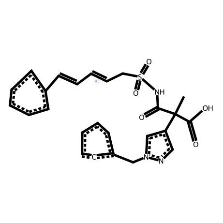 CC(C(=O)O)(C(=O)NS(=O)(=O)C/C=C/C=Cc1ccccc1)c1cnn(Cc2ccccc2)c1